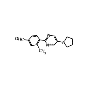 Cc1cc(C=O)ccc1-c1ncc(N2CCCC2)cn1